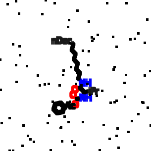 CCCCCCCCCCCCCCCCCCNC(=O)C(NC(=O)[O][Ac][c]1ccccc1)C(C)C